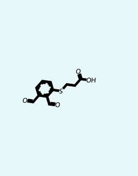 O=Cc1cccc(SCCC(=O)O)c1C=O